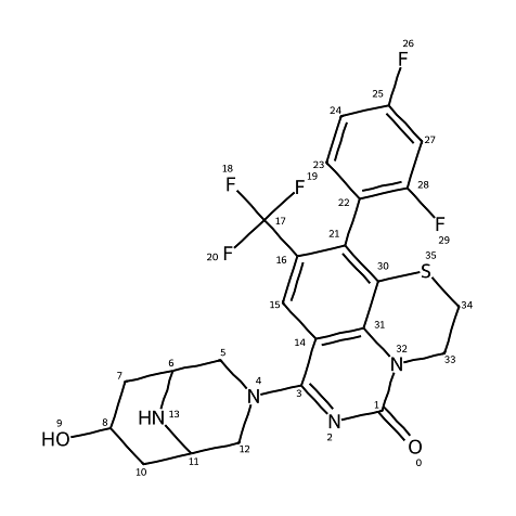 O=c1nc(N2CC3CC(O)CC(C2)N3)c2cc(C(F)(F)F)c(-c3ccc(F)cc3F)c3c2n1CCS3